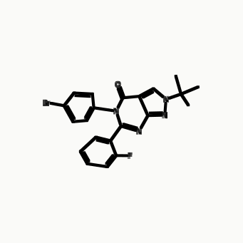 CC(C)(C)n1cc2c(=O)n(-c3ccc(Br)cc3)c(-c3ccccc3F)nc2n1